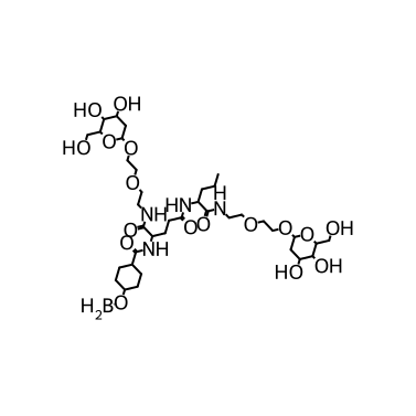 BOC1CCC(C(=O)NC(CCC(=O)NC(CCC)C(=O)NCCOCCOC2CC(O)C(O)C(CO)O2)C(=O)NCCOCCOC2CC(O)C(O)C(CO)O2)CC1